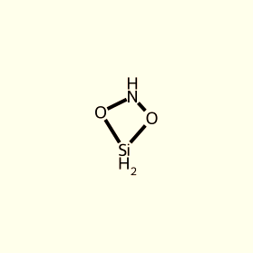 N1O[SiH2]O1